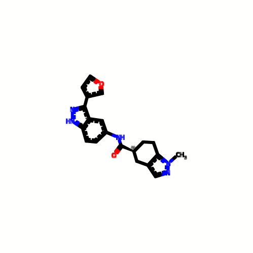 Cn1ncc2c1CC[C@H](C(=O)Nc1ccc3[nH]nc(-c4ccoc4)c3c1)C2